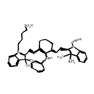 CCCCCN1/C(=C/C=C2\CCCC(/C=C/C3=[N+](CCCCS(=O)(=O)O)c4ccccc4C3(C)C)=C2Nc2ccccc2)C(C)(C)c2ccccc21